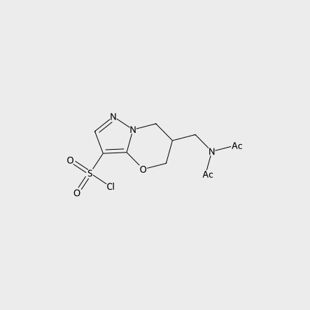 CC(=O)N(CC1COc2c(S(=O)(=O)Cl)cnn2C1)C(C)=O